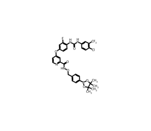 CC1(C)OB(c2ccc(CONC(=O)c3cc(Oc4ccc(NC(=O)Nc5ccc(Cl)c(C(F)(F)F)c5)c(F)c4)ccn3)cc2)OC1(C)C